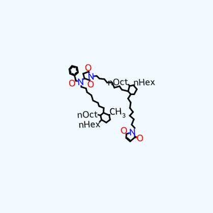 CCCCCCCCC1C(CCCCCC)CCC(C)C1CCCCCCCCN(C(=O)c1ccccc1)C1CC(=O)N(CCCCCCCCC2C(CCCCCCCCN3C(=O)C=CC3=O)CCC(CCCCCC)C2CCCCCCCC)C1=O